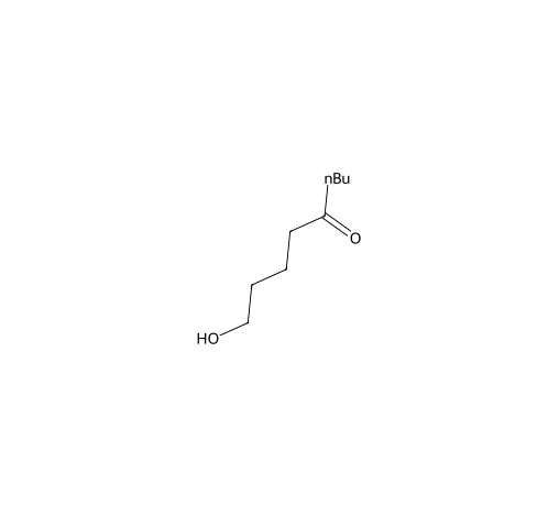 [CH2]CCCC(=O)CCCCO